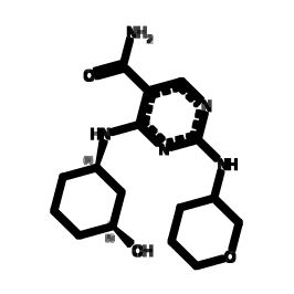 NC(=O)c1cnc(NC2CCCOC2)nc1N[C@@H]1CCC[C@H](O)C1